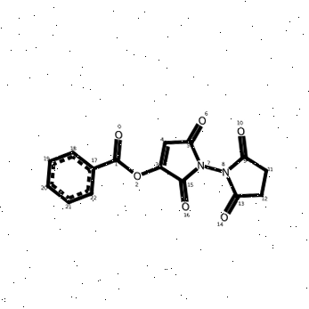 O=C(OC1=CC(=O)N(N2C(=O)CCC2=O)C1=O)c1ccccc1